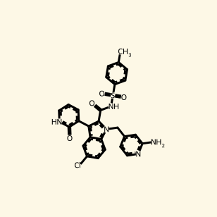 Cc1ccc(S(=O)(=O)NC(=O)c2c(-c3ccc[nH]c3=O)c3cc(Cl)ccc3n2Cc2ccnc(N)c2)cc1